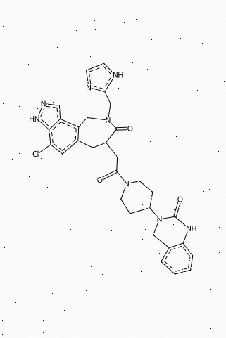 O=C(CC1Cc2cc(Cl)c3[nH]ncc3c2CN(Cc2ncc[nH]2)C1=O)N1CCC(N2Cc3ccccc3NC2=O)CC1